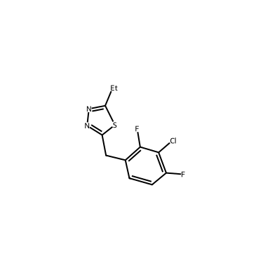 CCc1nnc(Cc2ccc(F)c(Cl)c2F)s1